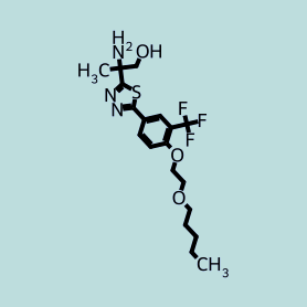 CCCCCOCCOc1ccc(-c2nnc(C(C)(N)CO)s2)cc1C(F)(F)F